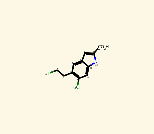 O=C(O)c1cc2cc(CCF)c(Cl)cc2[nH]1